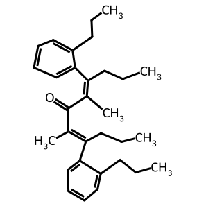 CCCC(=C(C)C(=O)C(C)=C(CCC)c1ccccc1CCC)c1ccccc1CCC